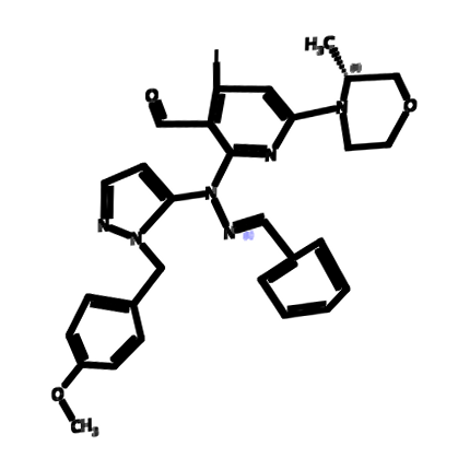 COc1ccc(Cn2nccc2N(/N=C/c2ccccc2)c2nc(N3CCOC[C@H]3C)cc(I)c2C=O)cc1